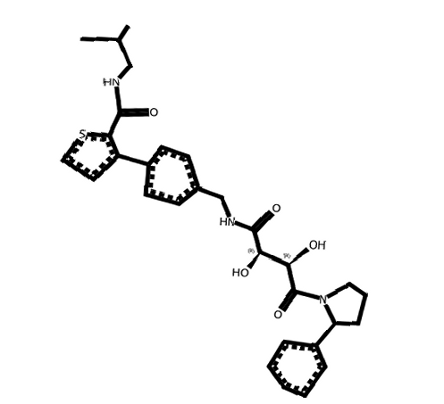 CC(C)CNC(=O)c1sccc1-c1ccc(CNC(=O)[C@H](O)[C@@H](O)C(=O)N2CCCC2c2ccccc2)cc1